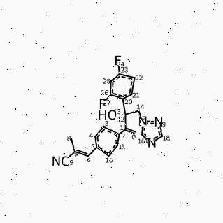 C=C(c1ccc(C=C(C)C#N)cc1)[C@](O)(Cn1cncn1)c1ccc(F)cc1F